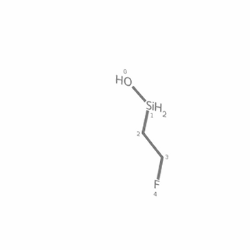 O[SiH2]CCF